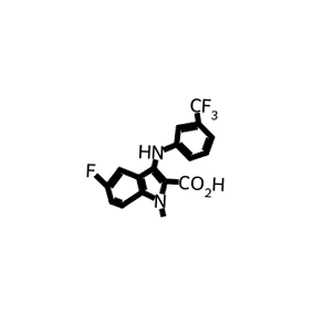 Cn1c(C(=O)O)c(Nc2cccc(C(F)(F)F)c2)c2cc(F)ccc21